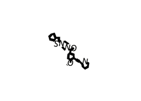 COc1ccc(C(=O)N2CCN(c3cc4ccccc4s3)CC2)cc1C#Cc1ccccn1